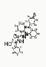 O=C(N[C@@H](CO)c1ccccc1)c1nn(C2CCCCC2)c2c1CCCC[C@H]2Cc1ccc(F)cc1